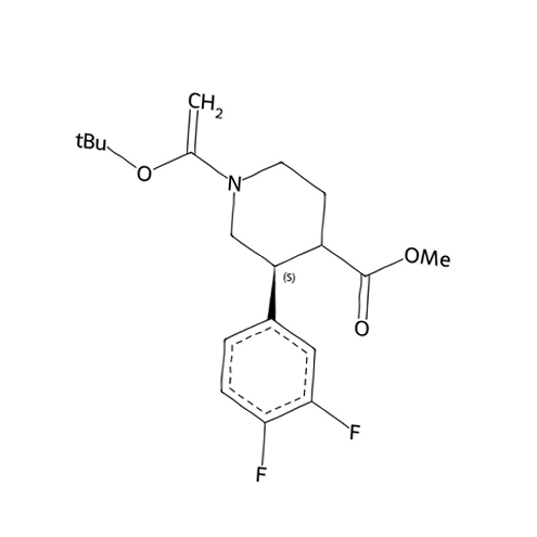 C=C(OC(C)(C)C)N1CCC(C(=O)OC)[C@@H](c2ccc(F)c(F)c2)C1